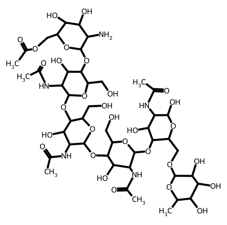 CC(=O)NC1C(O)OC(COC2OC(C)C(O)C(O)C2O)C(OC2OC(CO)C(OC3OC(CO)C(OC4OC(CO)C(OC5OC(COC(C)=O)C(O)C(O)C5N)C(O)C4NC(C)=O)C(O)C3NC(C)=O)C(O)C2NC(C)=O)C1O